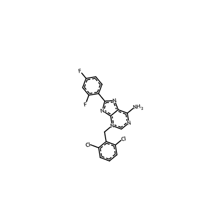 Nc1ncn(Cc2c(Cl)cccc2Cl)c2nc(-c3ccc(F)cc3F)nc1-2